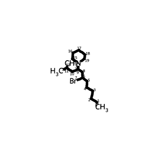 CCCCCCC(Br)CC(CC(C)C)N1CCCCC1